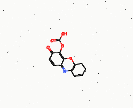 O=C(O)Oc1c2oc3c(nc-2ccc1=O)C=CCC3